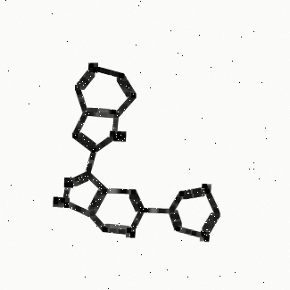 c1cc2[nH]c(-c3n[nH]c4cnc(-c5cncnc5)cc34)cc2cn1